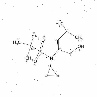 CC(C)C[C@@H](CO)N(C1CC1)S(=O)(=O)C(C)(C)C